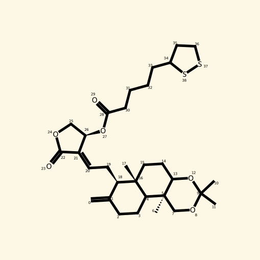 C=C1CCC2[C@]3(C)COC(C)(C)OC3CC[C@@]2(C)[C@@H]1C/C=C1/C(=O)OC[C@H]1OC(=O)CCCCC1CCSS1